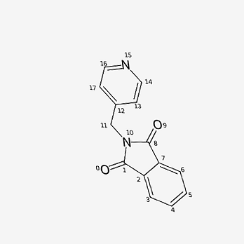 O=C1c2ccccc2C(=O)N1Cc1ccncc1